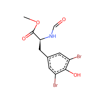 COC(=O)[C@H](Cc1cc(Br)c(O)c(Br)c1)NC=O